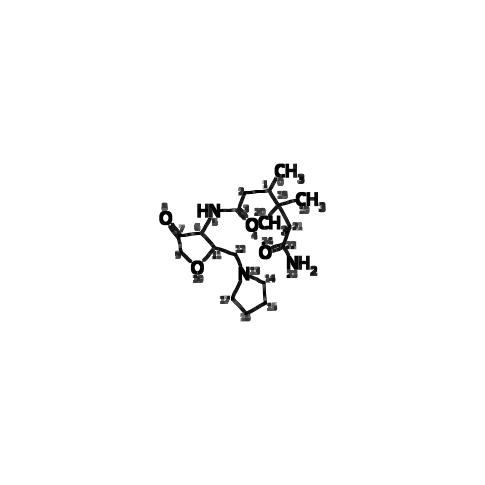 CC(CC(=O)NC1C(=O)COC1CN1CCCC1)C(C)(C)CC(N)=O